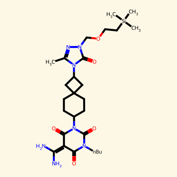 CCCCN1C(=O)C(=C(N)N)C(=O)N(C2CCC3(CC2)CC(n2c(C)nn(COCC[Si](C)(C)C)c2=O)C3)C1=O